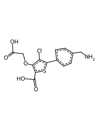 NCc1ccc(-c2sc(C(=O)O)c(OCC(=O)O)c2Cl)cc1